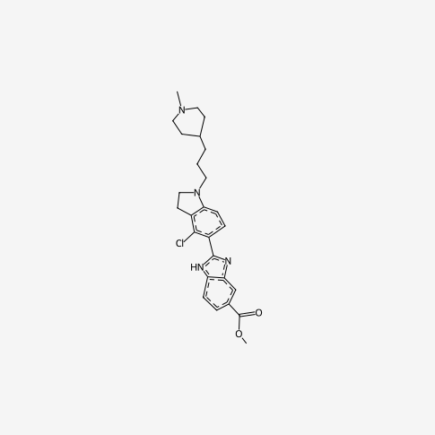 COC(=O)c1ccc2[nH]c(-c3ccc4c(c3Cl)CCN4CCCC3CCN(C)CC3)nc2c1